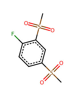 CS(=O)(=O)c1ccc(F)c(S(C)(=O)=O)c1